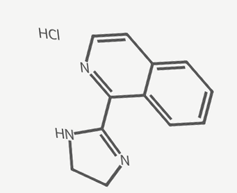 Cl.c1ccc2c(C3=NCCN3)nccc2c1